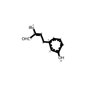 CCC(C)C(C=O)=CCc1cccc(O)c1